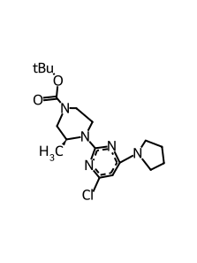 C[C@H]1CN(C(=O)OC(C)(C)C)CCN1c1nc(Cl)cc(N2CCCC2)n1